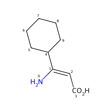 N/C(=C\C(=O)O)C1CCCCC1